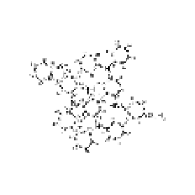 Cc1ccc(Nc2ccc(N(c3ccccc3)c3ccccc3)cc2-c2cc(N(c3ccccc3)c3ccccc3)c3c4ccccc4n4c3c2Bc2cc3sc5ccccc5c3cc2-4)cc1